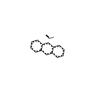 C=CC(=O)O.c1ccc2cc3ccccc3cc2c1